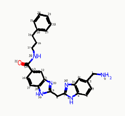 NCc1ccc2[nH]c(Cc3nc4cc(C(=O)NCCCc5ccccc5)ccc4[nH]3)nc2c1